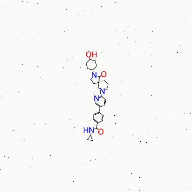 O=C(NC1CC1)c1ccc(-c2ccc(N3CCC[C@@]4(CCN([C@H]5CC[C@H](O)CC5)C4=O)C3)nc2)cc1